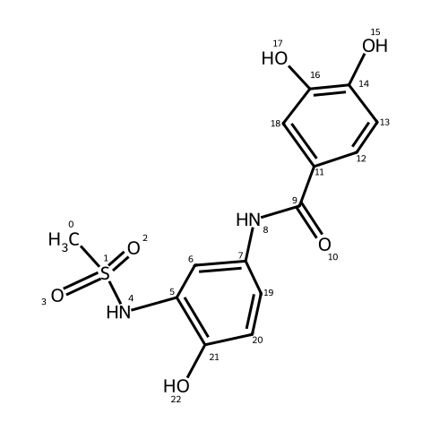 CS(=O)(=O)Nc1cc(NC(=O)c2ccc(O)c(O)c2)ccc1O